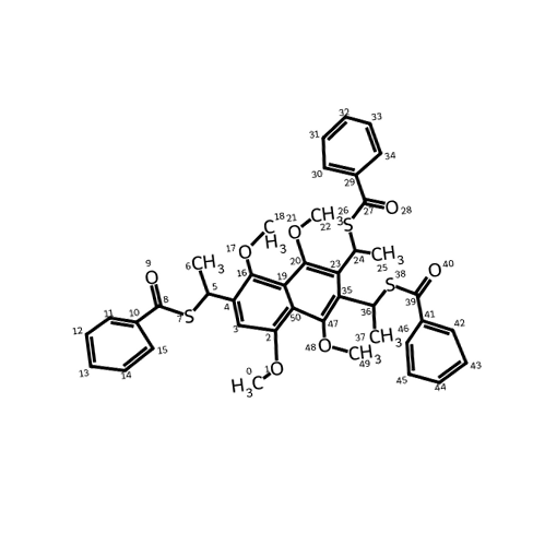 COc1cc(C(C)SC(=O)c2ccccc2)c(OC)c2c(OC)c(C(C)SC(=O)c3ccccc3)c(C(C)SC(=O)c3ccccc3)c(OC)c12